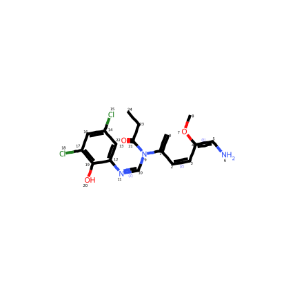 C=C(/C=C\C(=C/N)OC)N(/C=N\c1cc(Cl)cc(Cl)c1O)C(=O)CC